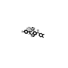 CC1CCC(Nc2ccc3c(cnn3[C@H](C)[C@](O)(Cn3cncn3)c3ccc(F)cc3F)c2)CC1C